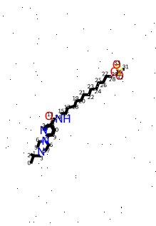 CC(C)CN1CCN(c2ccc(C(=O)NCCCCCCCCCCCCCCOS(C)(=O)=O)cn2)CC1